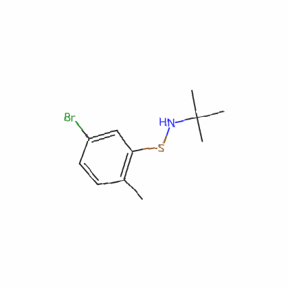 Cc1ccc(Br)cc1SNC(C)(C)C